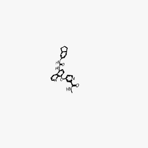 CNC(=O)c1cc(Oc2ccc(NC(=O)Nc3ccc4c(c3)CCC4)c3cccnc23)ccn1